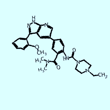 CCN1CCN(C(=O)Nc2ccc(-c3cnc4[nH]nc(-c5ccccc5OC)c4c3)cc2C(=O)N(C)C)CC1